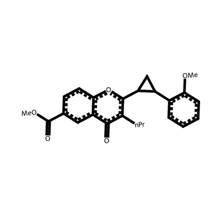 CCCc1c(C2CC2c2ccccc2OC)oc2ccc(C(=O)OC)cc2c1=O